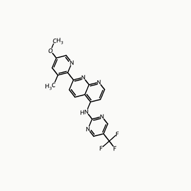 COc1cnc(-c2ccc3c(Nc4ncc(C(F)(F)F)cn4)ccnc3n2)c(C)c1